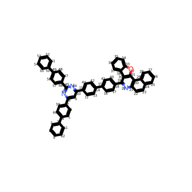 c1ccc(-c2ccc(-c3cc(-c4ccc(-c5ccc(-c6nc7ccc8ccccc8c7c7oc8ccccc8c67)cc5)cc4)nc(-c4ccc(-c5ccccc5)cc4)n3)cc2)cc1